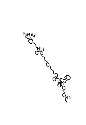 C=CC(=O)OCCOC(=O)NCC1CC2CCC1C2CCNC(=O)OCCCCOCCCCOC(=O)NCCC1CC2CC1CC2CNC(C)=O